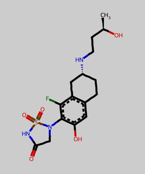 C[C@@H](O)CCN[C@@H]1CCc2cc(O)c(N3CC(=O)NS3(=O)=O)c(F)c2C1